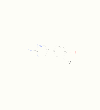 COc1cc(-c2cnc(N)nc2)ccc1O